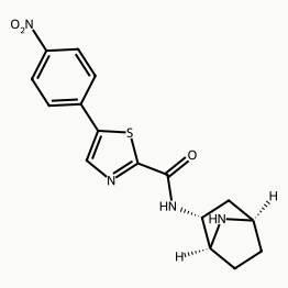 O=C(N[C@@H]1C[C@H]2CC[C@@H]1N2)c1ncc(-c2ccc([N+](=O)[O-])cc2)s1